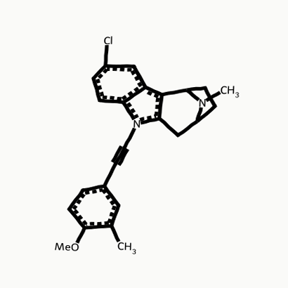 COc1ccc(C#Cn2c3c(c4cc(Cl)ccc42)C2CCC(C3)N2C)cc1C